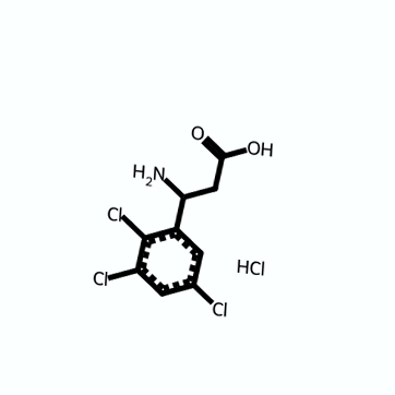 Cl.NC(CC(=O)O)c1cc(Cl)cc(Cl)c1Cl